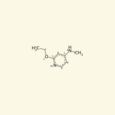 CCOc1cc(NC)ccn1